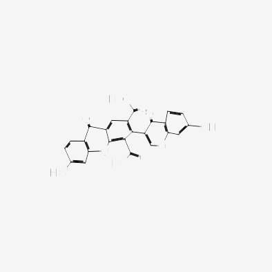 CC(=O)c1cc2c(=O)c3ccc(O)cc3oc2c(C(C)=O)c1-c1coc2cc(C)ccc2c1=O